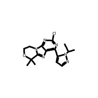 CC(C)n1nccc1-c1nc(Cl)nc2c1nc1n2CCOC1(C)C